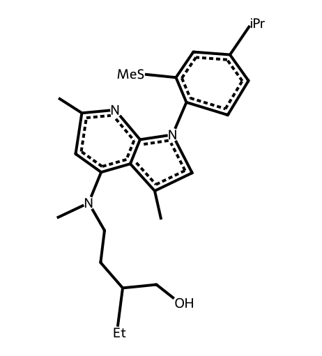 CCC(CO)CCN(C)c1cc(C)nc2c1c(C)cn2-c1ccc(C(C)C)cc1SC